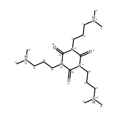 C[SiH](C)CCCn1c(=O)n(CCC[SiH](C)C)c(=O)n(CCC[SiH](C)C)c1=O